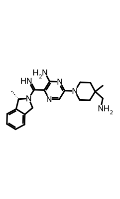 C[C@H]1c2ccccc2CN1C(=N)c1ncc(N2CCC(C)(CN)CC2)nc1N